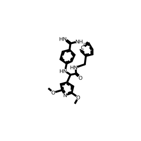 COc1cc(C(Nc2ccc(C(=N)N)cc2)C(=O)NCc2ccccc2)cc(OC)n1